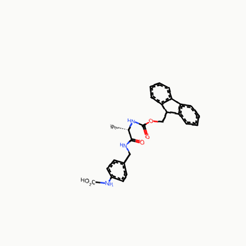 CC(C)[C@H](NC(=O)OCC1c2ccccc2-c2ccccc21)C(=O)NCc1ccc(NC(=O)O)cc1